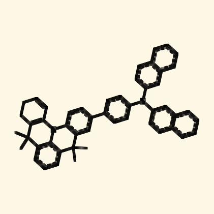 CC1(C)C2=C(C=CCC2)N2c3ccc(-c4ccc(N(c5ccc6ccccc6c5)c5ccc6ccccc6c5)cc4)cc3C(C)(C)c3cccc1c32